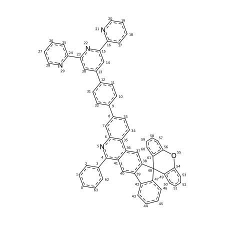 c1ccc(-c2nc3cc(-c4ccc(-c5cc(-c6ccccn6)nc(-c6ccccn6)c5)cc4)ccc3c3cc4c(cc23)-c2ccccc2C42c3ccccc3Oc3ccccc32)cc1